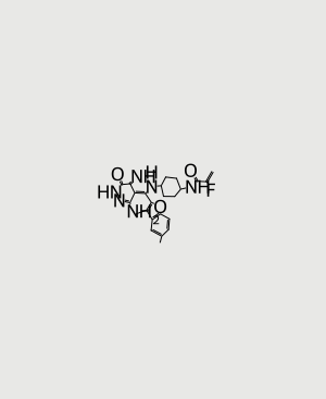 C=C(F)C(=O)NC1CCC(N/C(=C2\C(=N)C(=O)NN=C2N)c2oc3ccc(C)cc3c2C)CC1